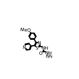 CCCNC(=O)Nc1nc(-c2ccc(OC)cc2)c(-c2ccncc2)s1